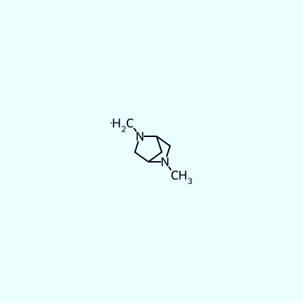 [CH2]N1CC2CC1CN2C